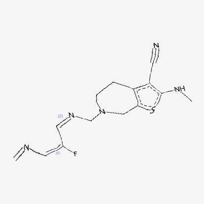 C=N/C=C(F)\C=N/CN1CCc2c(sc(NC)c2C#N)C1